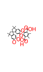 COc1cc2c(cc1OC)C1(CC2(C)C)CC(C)(C)c2cc3c(cc21)Oc1c(c(C(=O)O)c(C)c(C)c1C(=O)O)O3